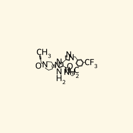 CC#CC(=O)N1CCC[C@H](n2nc(-c3cnn(Cc4cc(C)cc(C(F)(F)F)c4)c3)c(C(N)=O)c2N)CC1